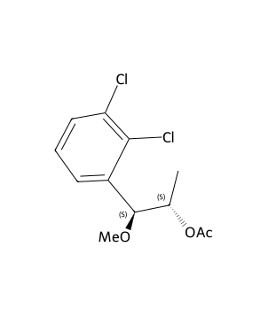 CO[C@@H](c1cccc(Cl)c1Cl)[C@H](C)OC(C)=O